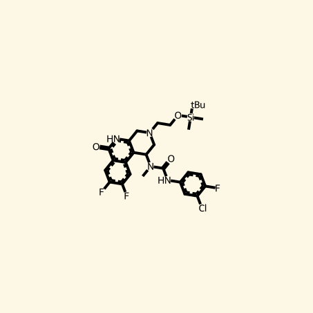 CN(C(=O)Nc1ccc(F)c(Cl)c1)C1CN(CCO[Si](C)(C)C(C)(C)C)Cc2[nH]c(=O)c3cc(F)c(F)cc3c21